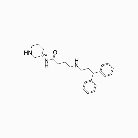 O=C(CCCNCCC(c1ccccc1)c1ccccc1)N[C@H]1CCCNC1